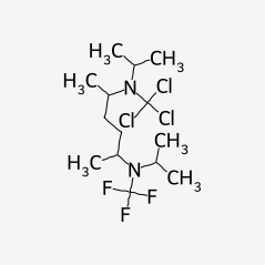 CC(C)N(C(C)CCC(C)N(C(C)C)C(Cl)(Cl)Cl)C(F)(F)F